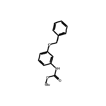 CC(C)(C)OC(=O)Nc1cccc(OCc2ccccc2)c1